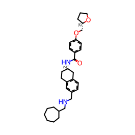 O=C(N[C@H]1CCc2cc(CNCC3CCCCCC3)ccc2C1)c1ccc(OC[C@@H]2CCCO2)cc1